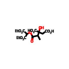 CCOC(=O)C(OC(=O)C(C)C(O)(CC(=O)O)C(=O)O)C(=O)OCC